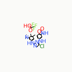 Cc1cc(Nc2ncc(Cl)c(Nc3ccc4oc(=O)[nH]c4c3)n2)cc(N(C)C)c1C.O=C(O)C(F)(F)F